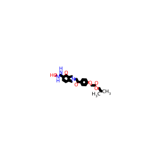 CC(C)COC(=O)COc1ccc(C(=O)CN2C=C3C=CC(C(=N)NO)C(=O)C3C2)cc1